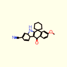 COc1ccc2c(c1)C1(CCCCC1)C1=C(C2=O)C2C=CC(C#N)=CC2N1